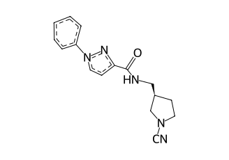 N#CN1CC[C@H](CNC(=O)c2ccn(-c3ccccc3)n2)C1